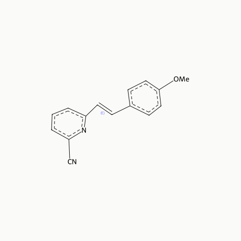 COc1ccc(/C=C/c2cccc(C#N)n2)cc1